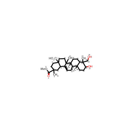 COC(=O)C1(C)CCC2(C(=O)O)CCC3(C)C(=CCC4C5(C)CCC(O)C(C)(CO)C5CCC43C)C2C1